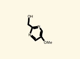 COc1cnc(CO)nc1